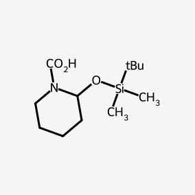 CC(C)(C)[Si](C)(C)OC1CCCCN1C(=O)O